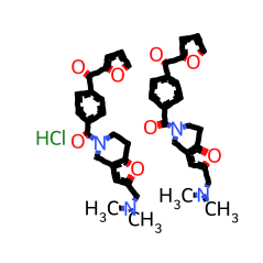 CN(C)Cc1cc2c(o1)CCN(C(=O)c1ccc(C(=O)c3ccco3)cc1)C2.CN(C)Cc1cc2c(o1)CCN(C(=O)c1ccc(C(=O)c3ccco3)cc1)C2.Cl